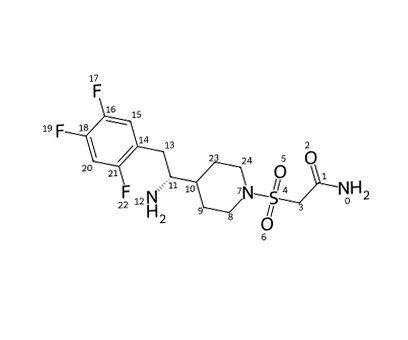 NC(=O)CS(=O)(=O)N1CCC([C@H](N)Cc2cc(F)c(F)cc2F)CC1